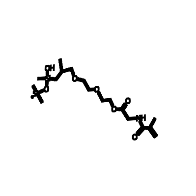 C=C(C)C(=O)NCC(=O)OCCOCCOCC(C)C[Si](C)(O)O[Si](C)(C)C